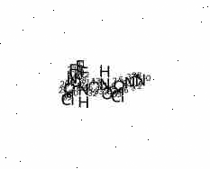 CN1CCN(c2ccc(C(=O)NC3CCC(Nc4cc(C(F)(F)F)nc5ccc(Cl)cc45)CC3)c(Cl)c2)CC1